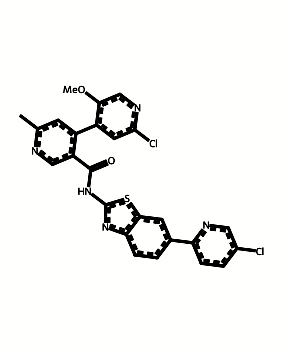 COc1cnc(Cl)cc1-c1cc(C)ncc1C(=O)Nc1nc2ccc(-c3ccc(Cl)cn3)cc2s1